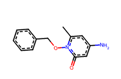 Cc1cc(N)cc(=O)n1OCc1ccccc1